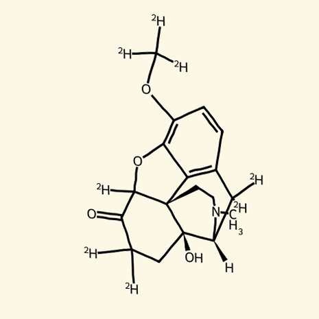 [2H]C([2H])([2H])Oc1ccc2c3c1OC1([2H])C(=O)C([2H])([2H])C[C@@]4(O)[C@H](N(C)CC[C@]314)C2([2H])[2H]